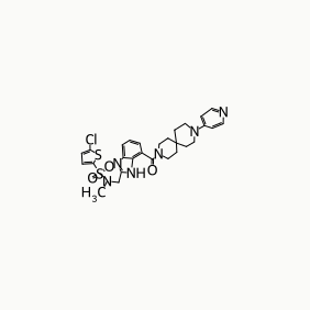 CN(Cc1nc2cccc(C(=O)N3CCC4(CC3)CCN(c3ccncc3)CC4)c2[nH]1)S(=O)(=O)c1ccc(Cl)s1